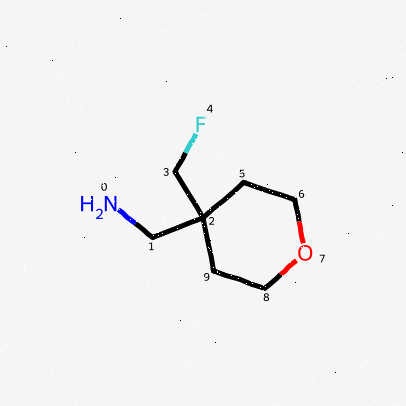 NCC1(CF)CCOCC1